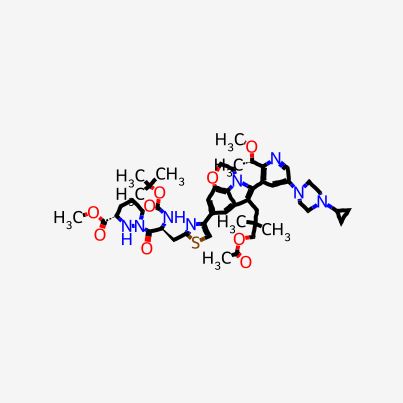 COC(=O)[C@@H]1CCCN(C(=O)[C@H](Cc2nc(-c3cc4c5c(c3)c(CC(C)(C)COC(C)=O)c(-c3cc(N6CCN(C7CC7)CC6)cnc3[C@H](C)OC)n5CCO4)cs2)NC(=O)OC(C)(C)C)N1